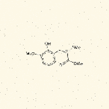 CN[C@@H](Cc1cccc(OC)c1O)C(=O)OC